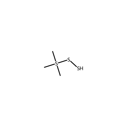 CS(C)(C)SS